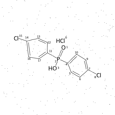 Cl.O=P(O)(c1ccc(Cl)cc1)c1ccc(Cl)cc1